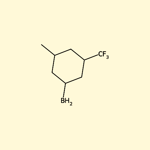 BC1CC(C)CC(C(F)(F)F)C1